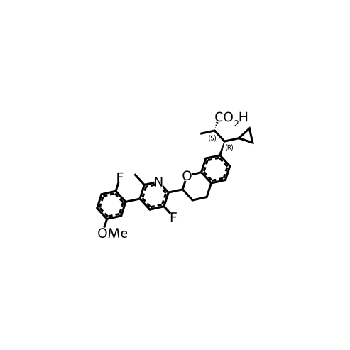 COc1ccc(F)c(-c2cc(F)c(C3CCc4ccc([C@H](C5CC5)[C@H](C)C(=O)O)cc4O3)nc2C)c1